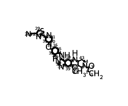 C=CC(=O)N1CCC(Nc2cc3c(Nc4ccc(Oc5ccnc(-c6nc(C#N)cs6)c5)cc4F)ncnc3cc2OC)CC1